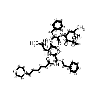 CC(C)CC(NC(=O)[C@H](CCc1ccccc1)NC(=O)CCCCCN1CCOCC1)C(=O)N[C@@H](Cc1ccccc1)C(=O)NC(CC(C)C)C(=O)C1(C)CO1